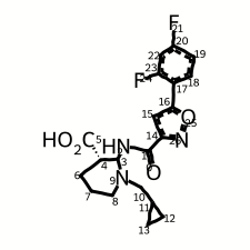 O=C(NC1[C@@H](C(=O)O)CCCN1CC1CC1)c1cc(-c2ccc(F)cc2F)on1